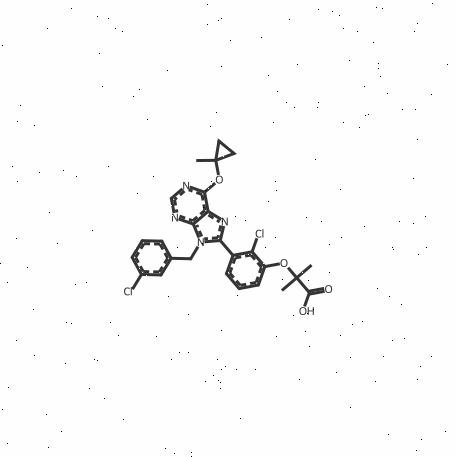 CC1(Oc2ncnc3c2nc(-c2cccc(OC(C)(C)C(=O)O)c2Cl)n3Cc2cccc(Cl)c2)CC1